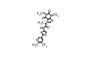 Cc1ncc(-c2nc(NC(=O)[C@H](C)n3cnc4c3c(=O)n(CC(F)(F)F)c(=O)n4C)cs2)cc1C(F)(F)F